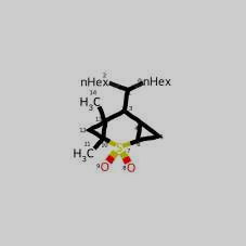 CCCCCCC(CCCCCC)C1C2CC2S(=O)(=O)C2(C)CC12C